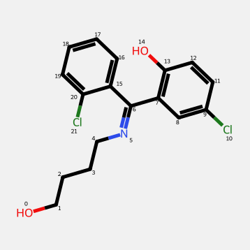 OCCCCN=C(c1cc(Cl)ccc1O)c1ccccc1Cl